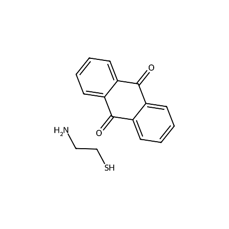 NCCS.O=C1c2ccccc2C(=O)c2ccccc21